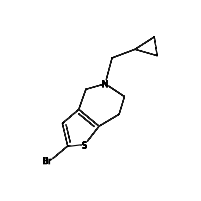 Brc1cc2c(s1)CCN(CC1CC1)C2